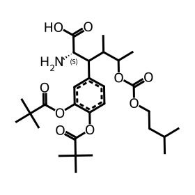 CC(C)CCOC(=O)OC(C)C(C)C(c1ccc(OC(=O)C(C)(C)C)c(OC(=O)C(C)(C)C)c1)[C@H](N)C(=O)O